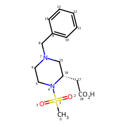 CS(=O)(=O)N1CCN(Cc2ccccc2)C[C@@H]1CC(=O)O